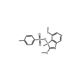 CSC1=Nc2cncc(SC)c2S1(C)OS(=O)(=O)c1ccc(C)cc1